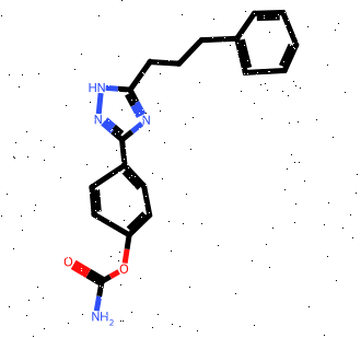 NC(=O)Oc1ccc(-c2n[nH]c([CH]CCc3ccccc3)n2)cc1